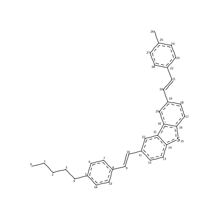 CCCCCc1ccc(/C=C/c2ccc3sc4ccc(/C=C/c5ccc(C)cc5)cc4c3c2)cc1